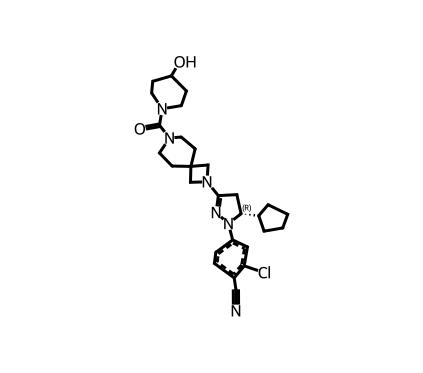 N#Cc1ccc(N2N=C(N3CC4(CCN(C(=O)N5CCC(O)CC5)CC4)C3)C[C@@H]2C2CCCC2)cc1Cl